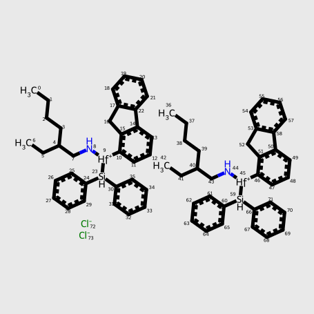 CCCCC(CC)C[NH][Hf+]([c]1cccc2c1Cc1ccccc1-2)[SiH](c1ccccc1)c1ccccc1.CCCCC(CC)C[NH][Hf+]([c]1cccc2c1Cc1ccccc1-2)[SiH](c1ccccc1)c1ccccc1.[Cl-].[Cl-]